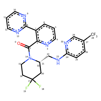 O=C(c1ncccc1-c1ncccn1)N1CCC(F)(F)C[C@H]1CNc1ccc(C(F)(F)F)cn1